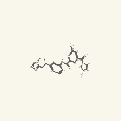 C[C@H](Cc1nncn1C)c1cccc(NC(=O)c2cc(C(=O)N3CC[C@H](O)C3)cc(C(F)(F)F)n2)c1